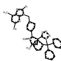 CCc1nc2c(C)cc(C#N)nc2n1Cc1ccc(-c2c(-c3nnnn3C(c3ccccc3)(c3ccccc3)c3ccccc3)cc(C)n2CC)cc1